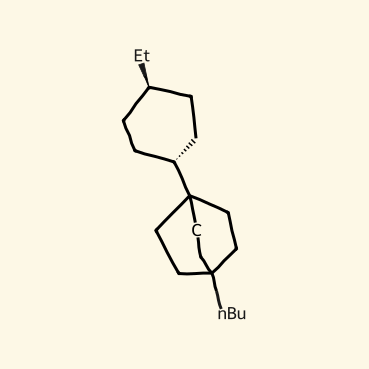 CCCCC12CCC([C@H]3CC[C@H](CC)CC3)(CC1)CC2